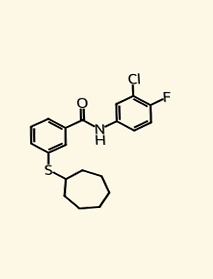 O=C(Nc1ccc(F)c(Cl)c1)c1cccc(SC2CCCCCC2)c1